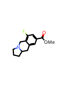 COC(=O)c1cc(F)c2c(c1)CC1CCCN1C2